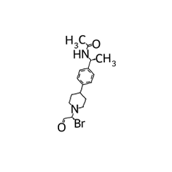 CC(=O)N[C@@H](C)c1ccc(C2CCN([C@@H](Br)C=O)CC2)cc1